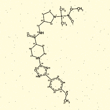 COC(=O)C(C)(C)N1CCC(CNC(=O)C2CCN(c3nc(-c4ccc(OC)cc4)no3)CC2)C1